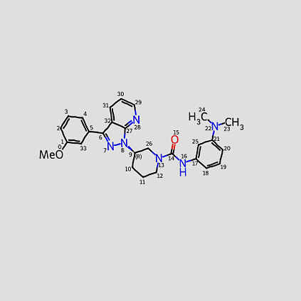 COc1cccc(-c2nn([C@@H]3CCCN(C(=O)Nc4cccc(N(C)C)c4)C3)c3ncccc23)c1